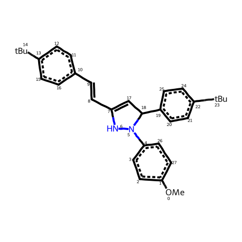 COc1ccc(N2NC(C=Cc3ccc(C(C)(C)C)cc3)=CC2c2ccc(C(C)(C)C)cc2)cc1